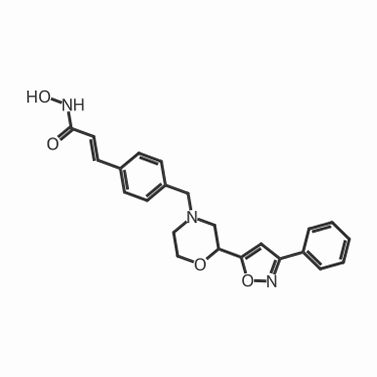 O=C(/C=C/c1ccc(CN2CCOC(c3cc(-c4ccccc4)no3)C2)cc1)NO